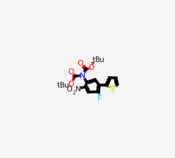 CC(C)(C)OC(=O)N(C(=O)OC(C)(C)C)c1cc(-c2cccs2)c(F)cc1[N+](=O)[O-]